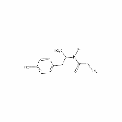 CC(=O)N(C(=O)CN)C(Cc1[c]cc(O)cc1)C(=O)O